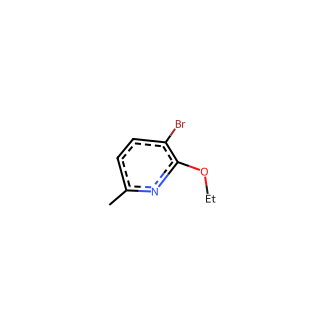 CCOc1nc(C)ccc1Br